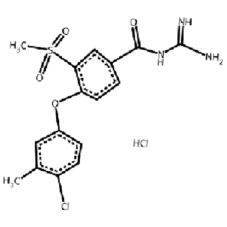 Cc1cc(Oc2ccc(C(=O)NC(=N)N)cc2S(C)(=O)=O)ccc1Cl.Cl